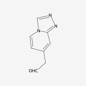 O=CCc1ccn2cnnc2c1